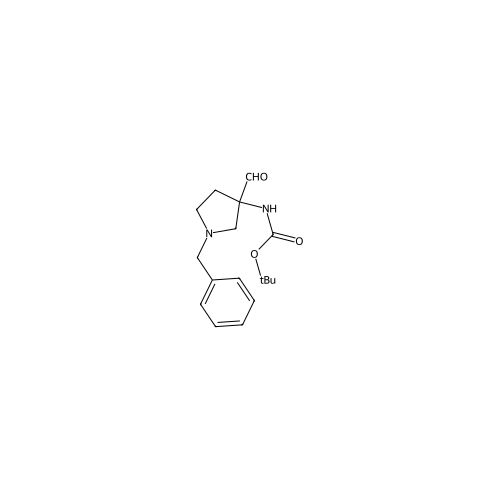 CC(C)(C)OC(=O)NC1(C=O)CCN(Cc2ccccc2)C1